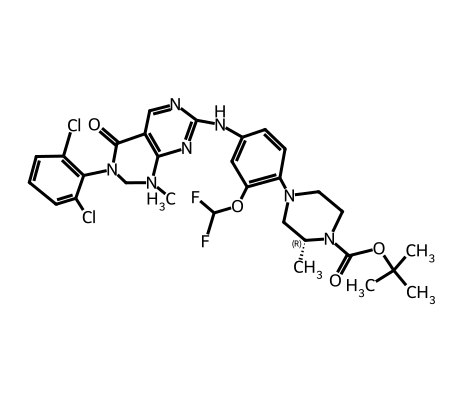 C[C@@H]1CN(c2ccc(Nc3ncc4c(n3)N(C)CN(c3c(Cl)cccc3Cl)C4=O)cc2OC(F)F)CCN1C(=O)OC(C)(C)C